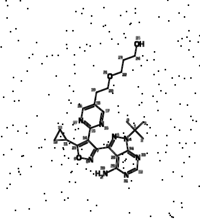 CC(C)(C)n1nc(-c2noc(C3CC3)c2-c2ncc(CCOCCCO)cn2)c2c(N)ncnc21